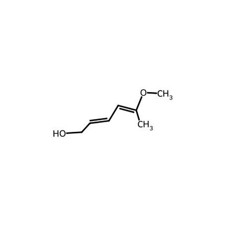 CO/C(C)=C/C=C/CO